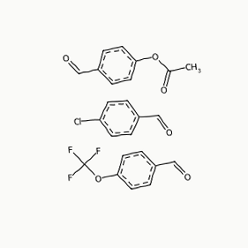 CC(=O)Oc1ccc(C=O)cc1.O=Cc1ccc(Cl)cc1.O=Cc1ccc(OC(F)(F)F)cc1